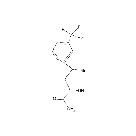 NC(=O)C(O)CC(Br)c1cccc(C(F)(F)F)c1